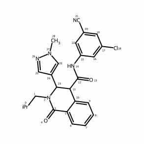 CC(C)CN1C(=O)c2ccccc2C(C(=O)Nc2cc(Cl)cc(C#N)c2)C1c1cnn(C)c1